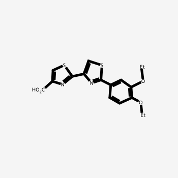 CCOc1ccc(-c2nc(-c3nc(C(=O)O)cs3)cs2)cc1OCC